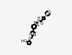 O=C(Nc1nc2ccc(-c3cnc(CO[C@H]4CCC[C@@H]4O)nc3)cc2s1)C1CC(N2CCOCC2)C1